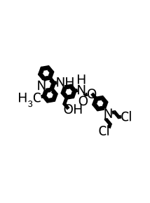 Cc1cccc2c(Nc3cc(CO)cc(NC(=O)Oc4ccc(N(CCCl)CCCl)cc4)c3)c3ccccc3nc12